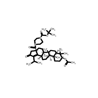 CC(=O)O[C@H]1CC[C@]2(C)[C@H]3CC[C@@H]4C5=C(C(C)C)C(=O)C[C@]5(C(=O)N5CCN(C(=O)OC(C)(C)C)CC5)CC[C@@]4(C)[C@]3(C)CC[C@H]2C1(C)C